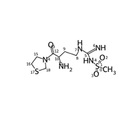 CS(=O)(=O)NC(=N)NCCC(N)C(=O)N1CCSC1